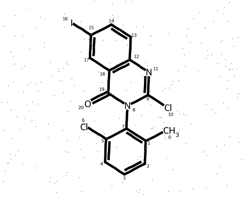 Cc1cccc(Cl)c1-n1c(Cl)nc2ccc(I)cc2c1=O